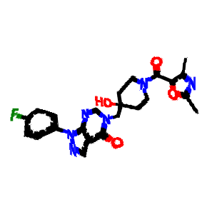 Cc1nc(C)c(C(=O)N2CCC(O)(Cn3cnc4c(cnn4-c4ccc(F)cc4)c3=O)CC2)o1